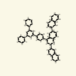 c1ccc(-c2cc(-c3ccccc3)nc(-c3ccc(-c4cc(-c5ccc6ccccc6c5)nc5ccc(-c6ccc7ccccc7c6)cc45)cc3)n2)cc1